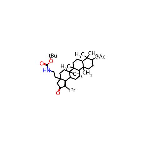 CC(=O)OC1CCC2(C)C(CCC3(C)C2CCC2C4=C(C(C)C)C(=O)CC4(CCNC(=O)OC(C)(C)C)CCC23C)C1(C)C